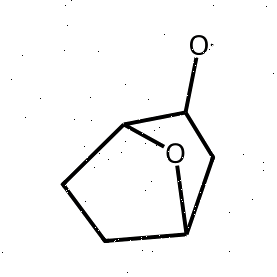 [O]C1CC2CCC1O2